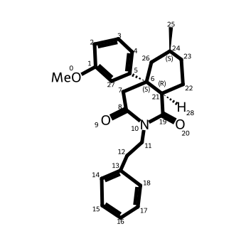 COc1cccc([C@@]23CC(=O)N(CCc4ccccc4)C(=O)[C@@H]2CC[C@H](C)C3)c1